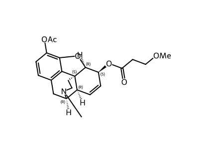 COCCC(=O)O[C@H]1C=C[C@H]2[C@H]3Cc4ccc(OC(C)=O)c5c4[C@@]2(CCN3C)[C@H]1O5